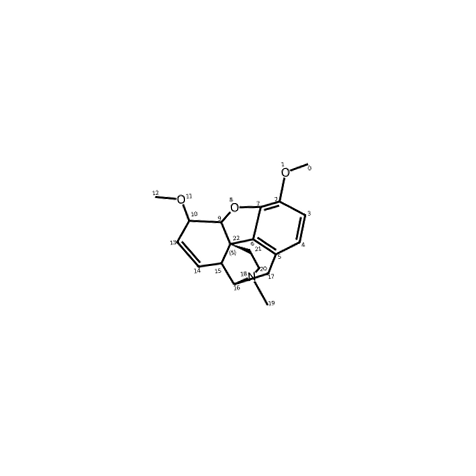 COc1ccc2c3c1OC1C(OC)C=CC4C(C2)N(C)CC[C@@]341